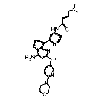 CN(C)CC=CC(=O)Nc1ccnc(-c2cccc3c(N)nc(Nc4ccc(N5CCOCC5)nc4)nc23)c1